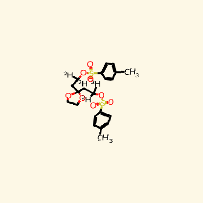 [2H]C([2H])(CC1(CC([2H])([2H])OS(=O)(=O)c2ccc(C)cc2)OCCO1)OS(=O)(=O)c1ccc(C)cc1